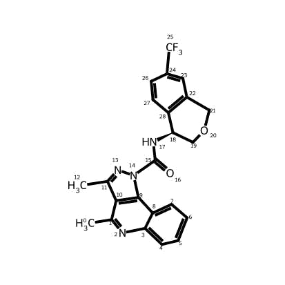 Cc1nc2ccccc2c2c1c(C)nn2C(=O)N[C@@H]1COCc2cc(C(F)(F)F)ccc21